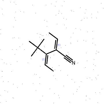 C/C=C(\C(C#N)=C/C)C(C)(C)C